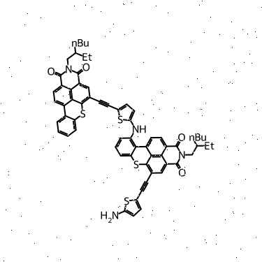 CCCCC(CC)Cn1c(=O)c2ccc3c4ccccc4sc4c(C#Cc5ccc(Nc6cccc7sc8c(C#Cc9ccc(N)s9)cc9c(=O)n(CC(CC)CCCC)c(=O)c%10ccc(c67)c8c%109)s5)cc(c1=O)c2c43